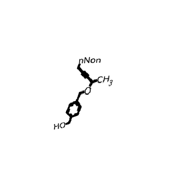 CCCCCCCCCCC#CC(C)OCc1ccc(CO)cc1